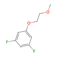 COCCOc1cc(F)[c]c(F)c1